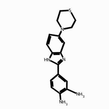 Nc1ccc(-c2nc3cc(N4CCSCC4)ccc3[nH]2)cc1N